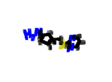 N[C@@H]1CC[C@H](CSc2ncccn2)C1